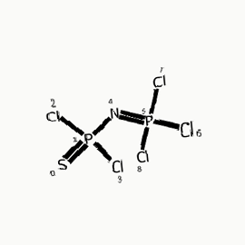 S=P(Cl)(Cl)N=P(Cl)(Cl)Cl